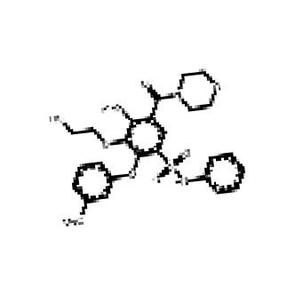 COc1cccc(Oc2c(S(=O)(=O)Nc3ccccc3)cc(C(=O)N3CCOCC3)c(SC)c2OCCO)c1